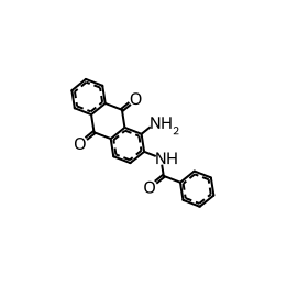 Nc1c(NC(=O)c2ccccc2)ccc2c1C(=O)c1ccccc1C2=O